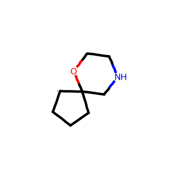 [CH]1CCCC12CNCCO2